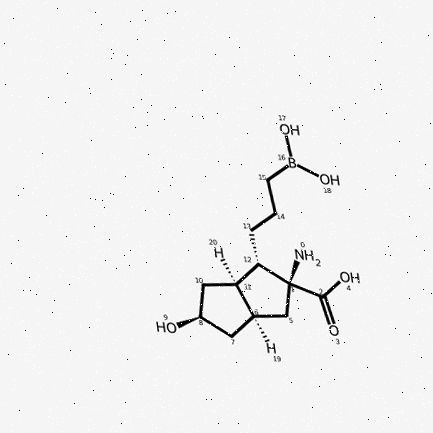 N[C@@]1(C(=O)O)C[C@H]2C[C@@H](O)C[C@H]2[C@@H]1CCCB(O)O